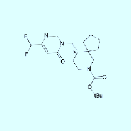 CC(C)(C)OC(=O)N1CC[C@H](Cn2cnc(C(F)F)cc2=O)C2(CCCC2)C1